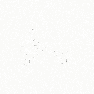 C1=CC(c2ccc3c(c2)c2cccc4c5ccccc5n3c42)CC=C1N(c1ccc(-c2ccccc2)cc1)c1ccc2c3ccccc3n(-c3ccccc3)c2c1